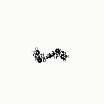 Cc1nc2cccc(NC(=O)Cn3cc(COC(=O)Nc4cccc5nc(C)n(C6CCC(=O)NC6=O)c(=O)c45)nn3)c2c(=O)n1C1CCC(=O)NC1=O